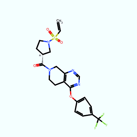 C=CS(=O)(=O)N1CC[C@@H](C(=O)N2CCc3c(ncnc3Oc3ccc(C(F)(F)F)cc3)C2)C1